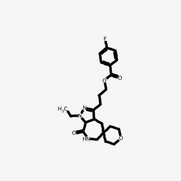 CCN1N=C(CCCOC(=O)c2ccc(F)cc2)C2CC3(CCOCC3)CNC(=O)C21